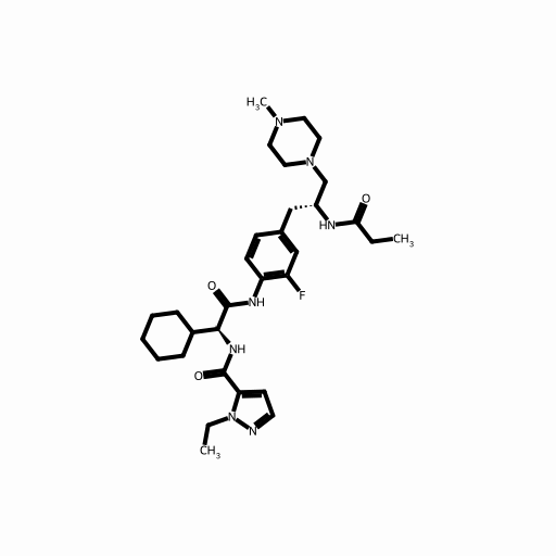 CCC(=O)N[C@H](Cc1ccc(NC(=O)[C@@H](NC(=O)c2ccnn2CC)C2CCCCC2)c(F)c1)CN1CCN(C)CC1